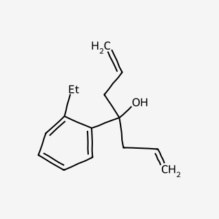 C=CCC(O)(CC=C)c1ccccc1CC